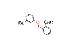 CC(C)(C)c1cccc(OCc2ccccc2C=O)c1